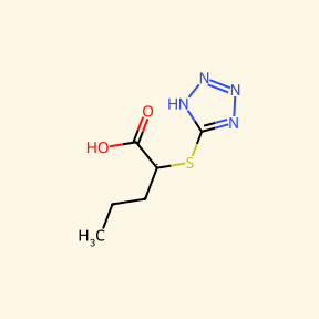 CCC[C](Sc1nnn[nH]1)C(=O)O